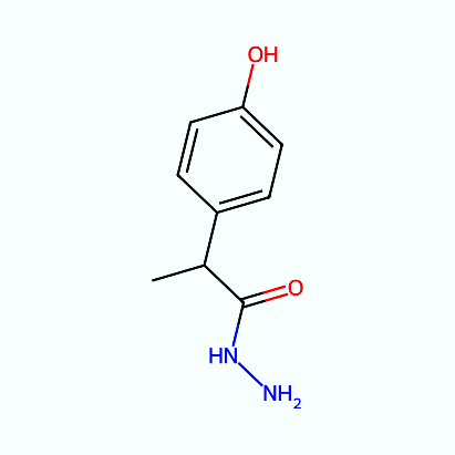 CC(C(=O)NN)c1ccc(O)cc1